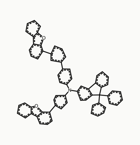 c1ccc(C2(c3ccccc3)c3ccccc3-c3cc(N(c4ccc(-c5cccc(-c6cccc7c6oc6ccccc67)c5)cc4)c4ccc(-c5cccc6c5oc5ccccc56)cc4)ccc32)cc1